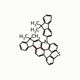 CC1(C)c2ccccc2-c2ccc(N(c3ccc4c(c3)C(C)(C)c3ccccc3-4)c3ccc4sc5cccc6c7ccccc7c3c4c56)cc21